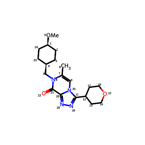 CO[C@H]1CC[C@@H](Cn2c(C)cn3c(C4CCOCC4)nnc3c2=O)CC1